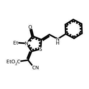 CCOC(=O)C(C#N)=c1sc(=CNc2ccccc2)c(=O)n1CC